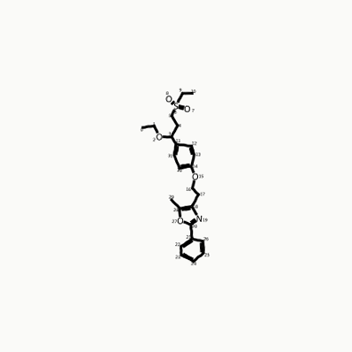 CCOC(CCS(=O)(=O)CC)c1ccc(OCCc2nc(-c3ccccc3)oc2C)cc1